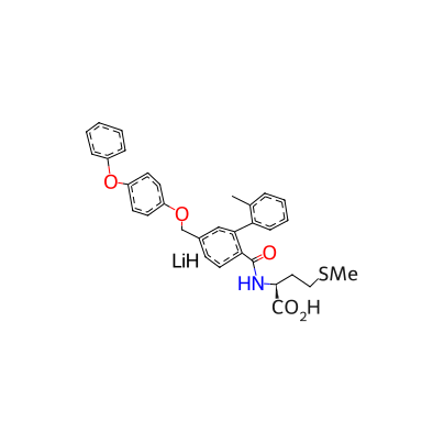 CSCC[C@H](NC(=O)c1ccc(COc2ccc(Oc3ccccc3)cc2)cc1-c1ccccc1C)C(=O)O.[LiH]